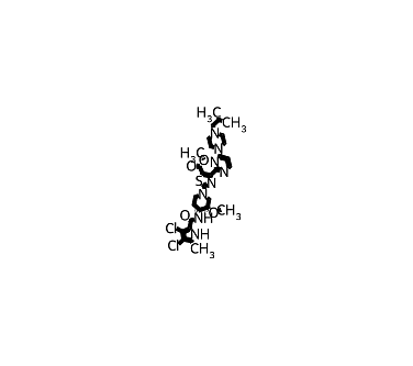 COC(=O)c1sc(N2CC[C@@H](NC(=O)c3[nH]c(C)c(Cl)c3Cl)[C@@H](OC)C2)nc1-c1nccc(N2CCN(CC(C)C)CC2)n1